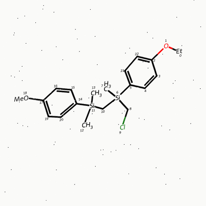 CCOc1ccc([Si](C)(CCl)C[Si](C)(C)c2ccc(OC)cc2)cc1